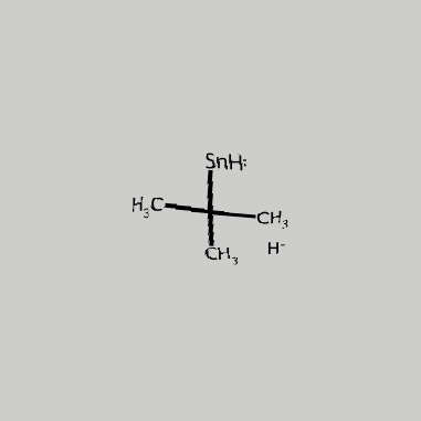 C[C](C)(C)[SnH].[H-]